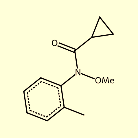 CON(C(=O)C1CC1)c1ccccc1C